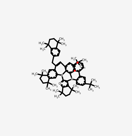 CC(C)(C)c1ccc(N2c3cc(C(C)(C)C)cc4c3B(c3cc5c(cc3C(Cc3ccc6c(c3)C(C)(C)CCC6(C)C)=C4)C(C)(C)CCC5(C)C)c3oc4c(c32)C(C)(C)CCC4(C)C)c(-c2ccccc2)c1